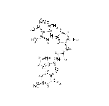 CNC(=O)c1c(C)nn(-c2cc(OC3CN(C(=O)N4N=CC[C@H]4c4cc(F)cc(C#N)c4)C3)c(F)cn2)c1C